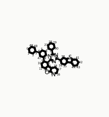 c1ccc(-c2cccc(-c3ccc4oc5ncccc5c4c3-c3nc(-c4ccccc4)nc(-c4ccc5c(c4)sc4ccccc45)n3)c2)cc1